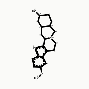 COc1ccc2[nH]c3c(c2c1)CCN1CC2CCC(O)CC2CC31